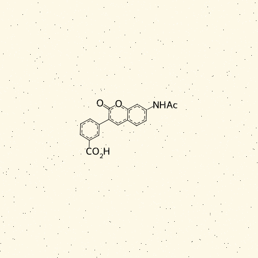 CC(=O)Nc1ccc2cc(-c3cccc(C(=O)O)c3)c(=O)oc2c1